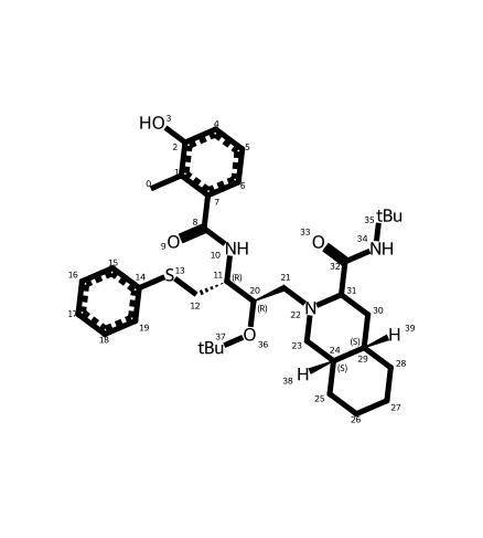 Cc1c(O)cccc1C(=O)N[C@@H](CSc1ccccc1)[C@@H](CN1C[C@H]2CCCC[C@H]2CC1C(=O)NC(C)(C)C)OC(C)(C)C